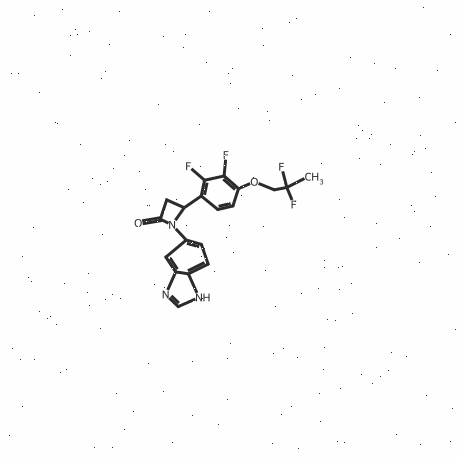 CC(F)(F)COc1ccc(C2CC(=O)N2c2ccc3[nH]cnc3c2)c(F)c1F